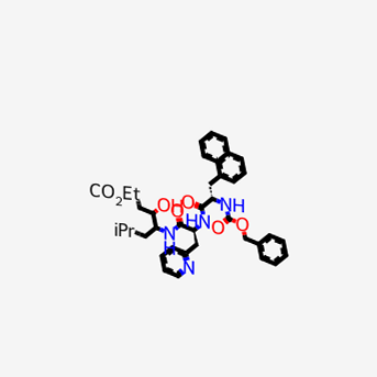 CCOC(=O)CC(O)C(CC(C)C)NC(=O)[C@H](Cc1ccccn1)NC(=O)[C@H](Cc1cccc2ccccc12)NC(=O)OCc1ccccc1